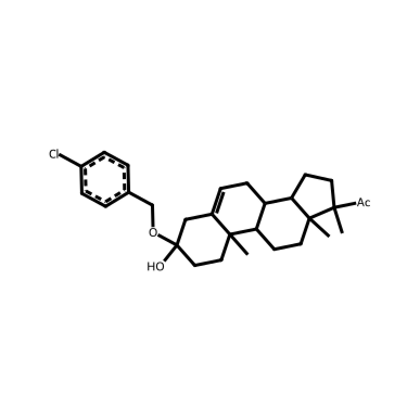 CC(=O)C1(C)CCC2C3CC=C4CC(O)(OCc5ccc(Cl)cc5)CCC4(C)C3CCC21C